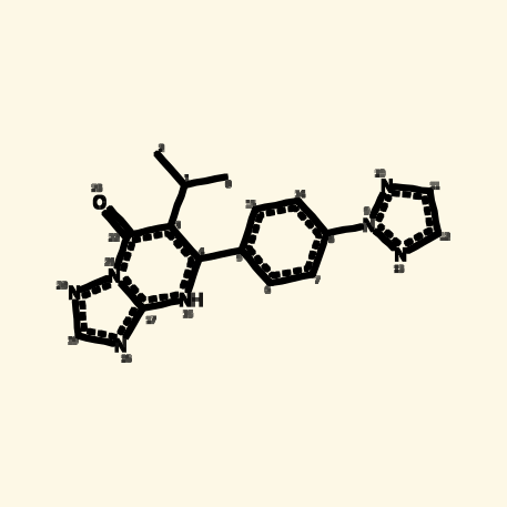 CC(C)c1c(-c2ccc(-n3nccn3)cc2)[nH]c2ncnn2c1=O